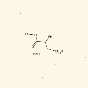 CCOC(=O)C(P)CC(=O)O.[NaH]